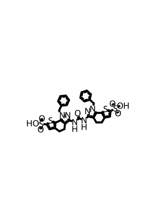 O=C(Nc1nn(Cc2ccccc2)c2c1CCc1cc(S(=O)(=O)O)sc1-2)Nc1nn(Cc2ccccc2)c2c1CCc1cc(S(=O)(=O)O)sc1-2